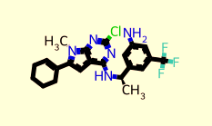 C[C@@H](Nc1nc(Cl)nc2c1cc(C1=CCCCC1)n2C)c1cc(N)cc(C(F)(F)F)c1